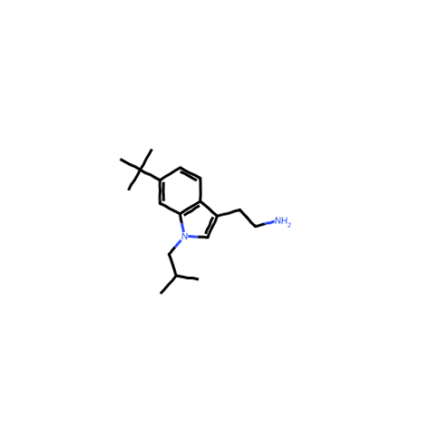 CC(C)Cn1cc(CCN)c2ccc(C(C)(C)C)cc21